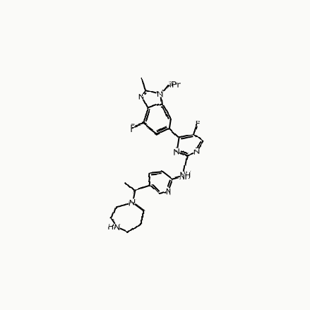 Cc1nc2c(F)cc(-c3nc(Nc4ccc(C(C)N5CCCNCC5)cn4)ncc3F)cc2n1C(C)C